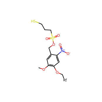 COc1cc(COS(=O)(=O)CCCS)c([N+](=O)[O-])cc1O[CH2][Rf]